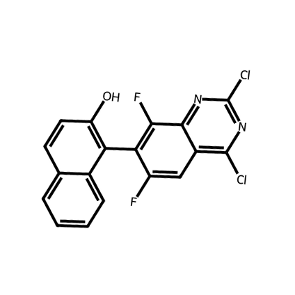 Oc1ccc2ccccc2c1-c1c(F)cc2c(Cl)nc(Cl)nc2c1F